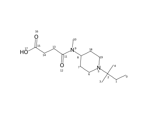 CCC(C)(C)N1CCC(N(C)C(=O)CCC(=O)O)CC1